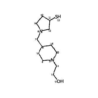 OCCN1CCC(CN2CCC(S)C2)CC1